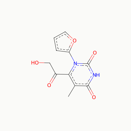 Cc1c(C(=O)CO)n(-c2ccco2)c(=O)[nH]c1=O